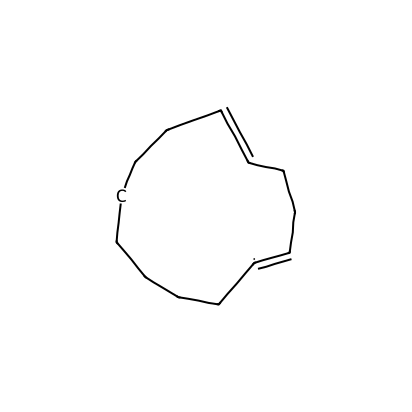 [C]1=C/CC/C=C/CCCCCCC/1